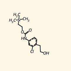 C[Si](C)(C)CCOC(=O)Nc1ccc(CCO)c(Cl)c1